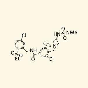 CCS(=O)(=O)c1ccc(Cl)cc1CNC(=O)c1cc(Cl)c(CN2CC(NS(=O)(=O)NC)C2)c(C(F)(F)F)c1